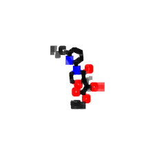 CC(C)(C)OC(=O)[C@H](O)[C@@]1(C)OCCN(c2cccc(C(F)(F)F)n2)C1=O